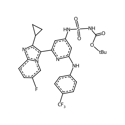 CC(C)(C)OC(=O)NS(=O)(=O)Nc1cc(Nc2ccc(C(F)(F)F)cc2)nc(-c2c(C3CC3)nc3ccc(F)cn23)c1